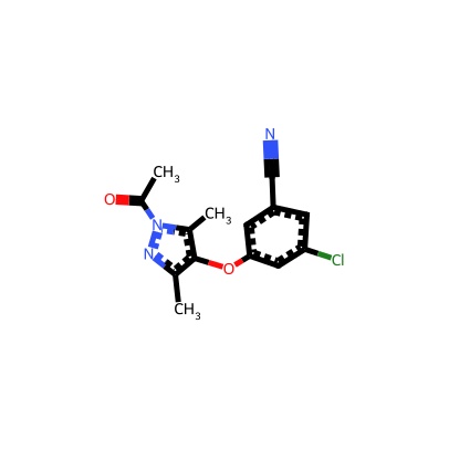 CC(=O)n1nc(C)c(Oc2cc(Cl)cc(C#N)c2)c1C